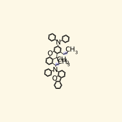 C=C1c2c(/C=C\C)cc(N(c3ccccc3)c3ccccc3)cc2Oc2cccc(/C(=C\C)N(c3ccccc3)c3cccc4c3oc3ccccc34)c21